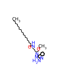 CCCCCCCCCCCCCCCCCCCC(=O)NCCCC(COCC)n1cnc2c(N)nc3ccccc3c21